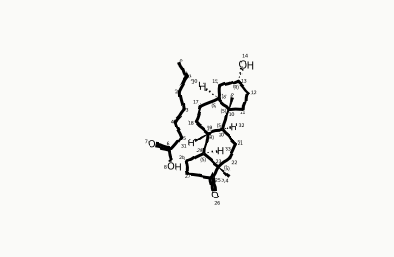 CCCCCCC(=O)O.C[C@]12CC[C@@H](O)C[C@@H]1CC[C@@H]1[C@@H]2CC[C@]2(C)C(=O)CC[C@@H]12